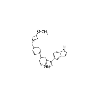 COC1CN(Cc2ccc(-c3cnc4[nH]cc(-c5ccc6[nH]ccc6c5)c4c3)cc2)C1